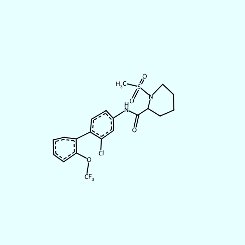 CS(=O)(=O)N1CCCCC1C(=O)Nc1ccc(-c2ccccc2OC(F)(F)F)c(Cl)c1